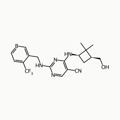 CC1(C)[C@@H](CO)C[C@H]1Nc1nc(NCc2cbccc2C(F)(F)F)ncc1C#N